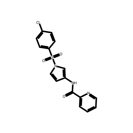 O=C(Nc1ccn(S(=O)(=O)c2ccc(Cl)cc2)c1)c1ccccn1